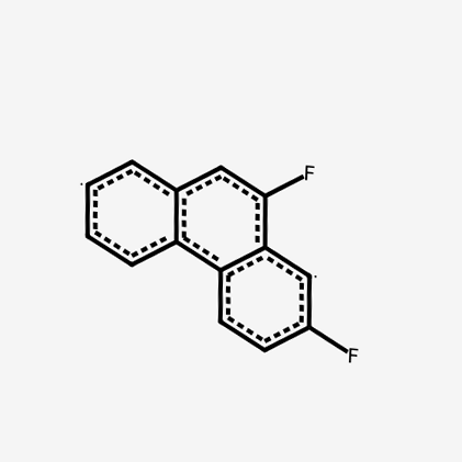 Fc1[c]c2c(F)cc3c[c]ccc3c2cc1